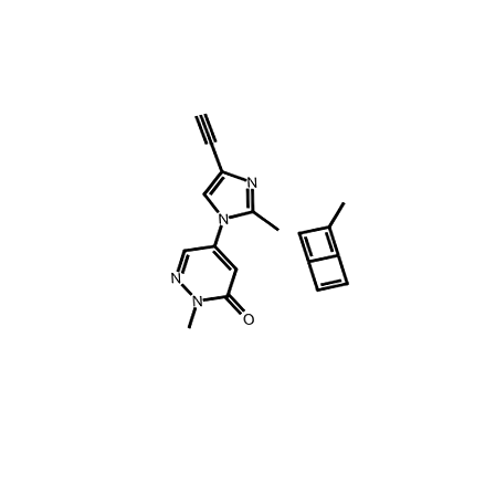 C#Cc1cn(-c2cnn(C)c(=O)c2)c(C)n1.Cc1cc2ccc1-2